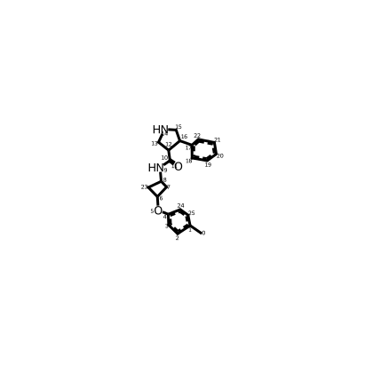 Cc1ccc(OC2CC(NC(=O)C3CNCC3c3ccccc3)C2)cc1